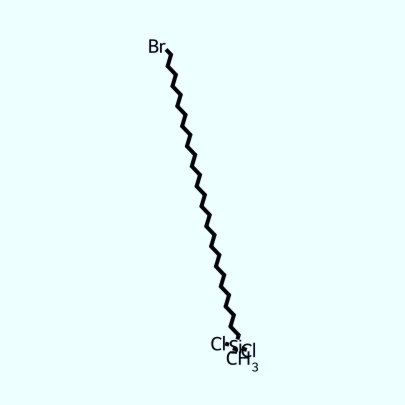 C[Si](Cl)(Cl)CCCCCCCCCCCCCCCCCCCCCCCCCCCCCBr